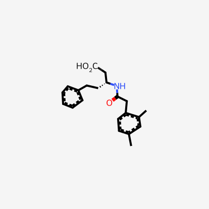 Cc1ccc(CC(=O)N[C@H](CCc2ccccc2)CC(=O)O)c(C)c1